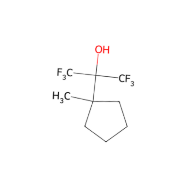 CC1(C(O)(C(F)(F)F)C(F)(F)F)CCCC1